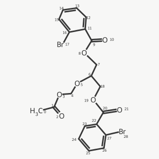 CC(=O)OCOC(COC(=O)c1ccccc1Br)COC(=O)c1ccccc1Br